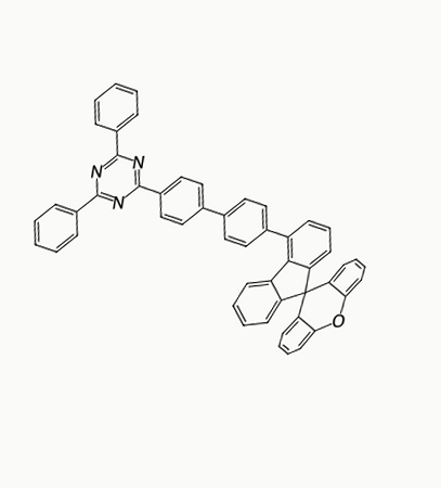 c1ccc(-c2nc(-c3ccccc3)nc(-c3ccc(-c4ccc(-c5cccc6c5-c5ccccc5C65c6ccccc6Oc6ccccc65)cc4)cc3)n2)cc1